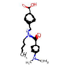 CCCCN(/N=C/c1ccc(C(=O)O)cc1)C(=O)c1ccc(N(C)C)cc1